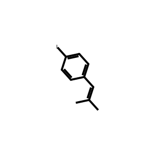 CC(C)=Cc1ccc(I)cc1